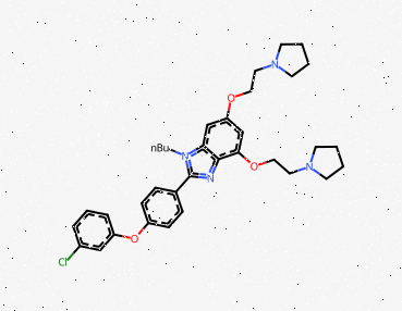 CCCCn1c(-c2ccc(Oc3cccc(Cl)c3)cc2)nc2c(OCCN3CCCC3)cc(OCCN3CCCC3)cc21